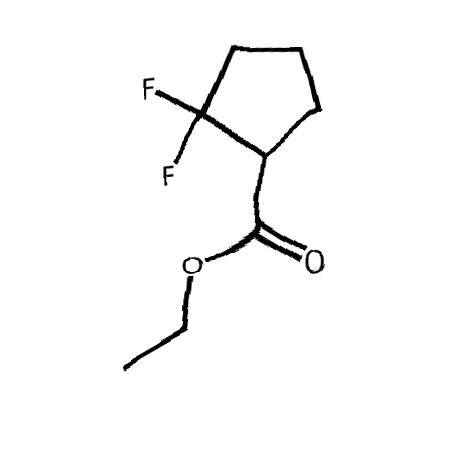 CCOC(=O)C1CCCC1(F)F